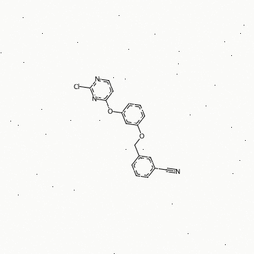 N#Cc1cccc(COc2cccc(Oc3ccnc(Cl)n3)c2)c1